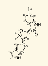 CC1(C)O/C(=C2/C(=O)Nc3cc(F)ccc32)C=C1c1ccc2[nH]ccc2c1